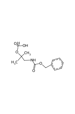 CC(C)(CNC(=O)OCc1ccccc1)O[PH](=O)O